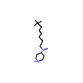 CN(CCCCCCC(C)(C)C)C1CCNCC1